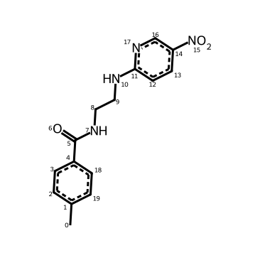 Cc1ccc(C(=O)NCCNc2ccc([N+](=O)[O-])cn2)cc1